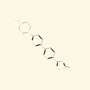 Cc1nc(-c2ccc(-c3ccc(N4CCN(C(C)C)CC4)nc3)cc2)no1